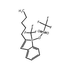 CCCCCC1=Cc2ccccc2S1(OS(=O)(=O)C(F)(F)F)C(F)(F)F